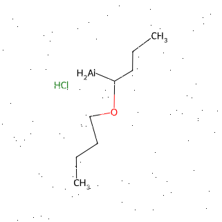 CCCCO[CH]([AlH2])CCC.Cl